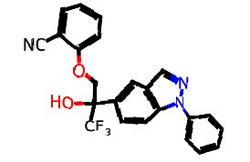 N#Cc1ccccc1OCC(O)(c1ccc2c(cnn2-c2ccccc2)c1)C(F)(F)F